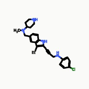 CCc1c(C#CCNc2ccc(Cl)cc2)[nH]c2ccc(CN(C)C3CCNCC3)cc12